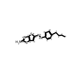 CCCCc1ccc(/N=N/c2cc3sc(N)nc3s2)cc1